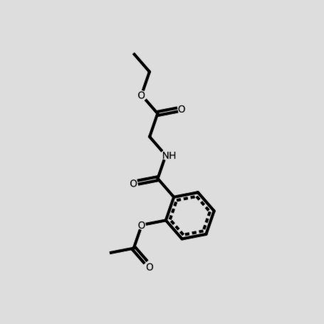 CCOC(=O)CNC(=O)c1ccccc1OC(C)=O